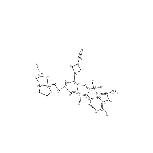 N#CC1CN(c2nc(OC[C@@]34CCCN3C[C@H](F)C4)nc3c(F)c(-c4ccc(F)c5sc(N)nc45)c(C(F)(F)F)cc23)C1